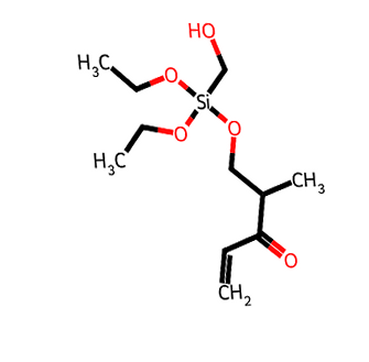 C=CC(=O)C(C)CO[Si](CO)(OCC)OCC